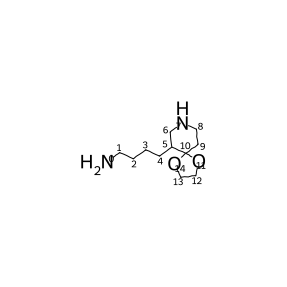 NCCCCC1CNCCC12OCCO2